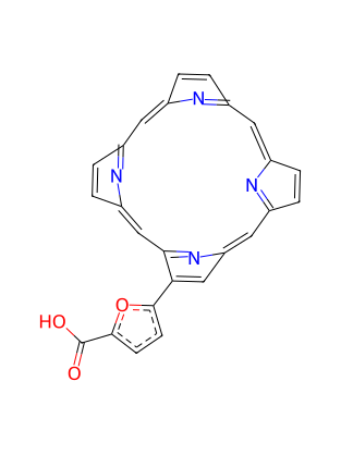 O=C(O)c1ccc(C2=CC3=CC4=NC(=CC5=NC(=CC6=NC(=CC2=N3)C=C6)C=C5)C=C4)o1